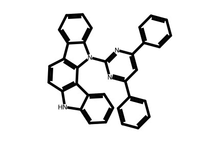 c1ccc(-c2cc(-c3ccccc3)nc(-n3c4ccccc4c4ccc5[nH]c6ccccc6c5c43)n2)cc1